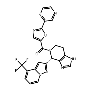 O=C(c1cnc(-c2cnccn2)o1)N1CCc2[nH]cnc2[C@@H]1c1cc2c(C(F)(F)F)cccn2n1